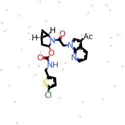 CC(=O)c1cn(CC(=O)N2[C@@H](OC(=O)NCc3ccc(Cl)s3)C[C@H]3C[C@H]32)c2ncccc12